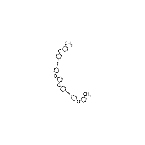 Cc1cccc(Oc2ccc(C#Cc3ccc(Oc4cccc(Oc5ccc(C#Cc6ccc(Oc7cccc(C)c7)cc6)cc5)c4)cc3)cc2)c1